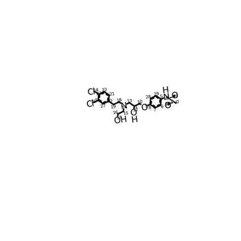 CS(=O)(=O)Nc1ccc(OCC(O)CN(CCO)CCc2ccc(Cl)c(Cl)c2)cc1